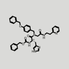 O=C(CN(Cc1ccc(OCc2ccccc2)cc1)C(=O)[C@H](Cc1c[nH]cn1)NC(=O)OCc1ccccc1)NCCc1ccccn1